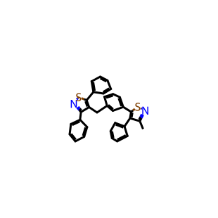 Cc1nsc(-c2cccc(Cc3c(-c4ccccc4)nsc3-c3ccccc3)c2)c1-c1ccccc1